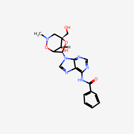 CN1C[C@]2(CO)O[C@@H](n3cnc4c(NC(=O)c5ccccc5)ncnc43)C(O1)[C@H]2O